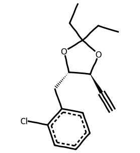 C#C[C@@H]1OC(CC)(CC)O[C@H]1Cc1ccccc1Cl